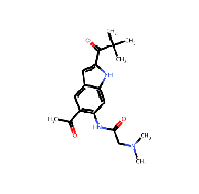 CC(=O)c1cc2cc(C(=O)C(C)(C)C)[nH]c2cc1NC(=O)CN(C)C